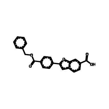 O=C(O)c1ccc2cc(-c3ccc(C(=O)OCc4ccccc4)cc3)oc2c1